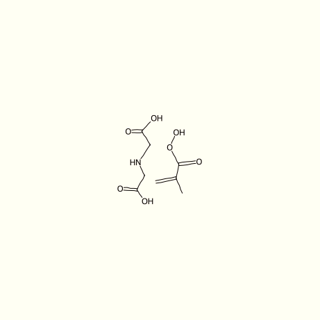 C=C(C)C(=O)OO.O=C(O)CNCC(=O)O